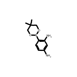 CC1(C)COB(c2ccc(N)cc2N)OC1